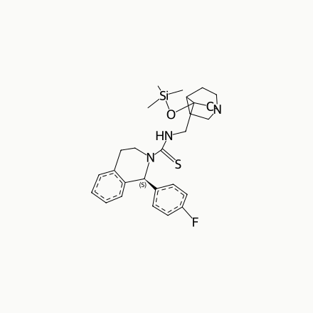 C[Si](C)(C)OC1(CNC(=S)N2CCc3ccccc3[C@@H]2c2ccc(F)cc2)CN2CCC1CC2